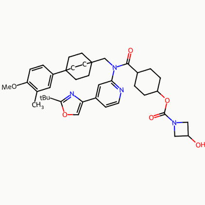 COc1ccc(C23CCC(CN(C(=O)C4CCC(OC(=O)N5CC(O)C5)CC4)c4cc(-c5coc(C(C)(C)C)n5)ccn4)(CC2)CC3)cc1C